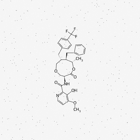 COc1ccnc(C(=O)N[C@H]2COC[C@H](Cc3ccc(C(F)(F)F)cc3)[C@@H](Cc3ccccc3)[C@H](C)OC2=O)c1O